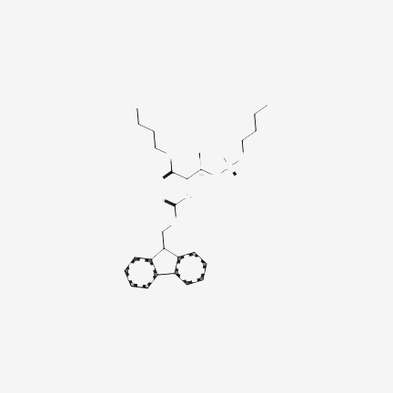 CCCCOC(=O)[C@@H](NC(=O)OCC1c2ccccc2-c2ccccc21)[C@@H](C)OP(=O)(O)OCCCC